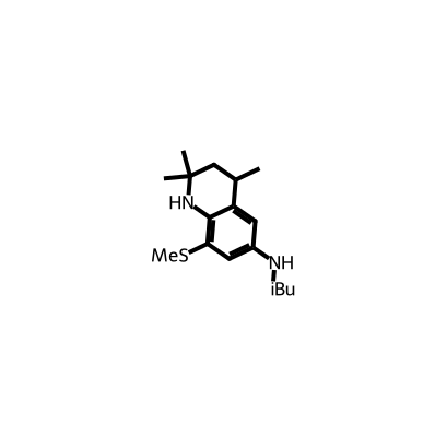 CCC(C)Nc1cc(SC)c2c(c1)C(C)CC(C)(C)N2